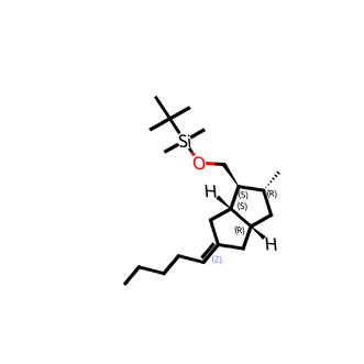 CCCC/C=C1/C[C@H]2C[C@@H](C)[C@H](CO[Si](C)(C)C(C)(C)C)[C@H]2C1